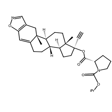 C#C[C@]1(OC(=O)[C@@H]2CCCN2C(=O)OC(C)C)CC[C@H]2[C@@H]3CCC4=Cc5oncc5C[C@]4(C)[C@H]3CC[C@@]21C